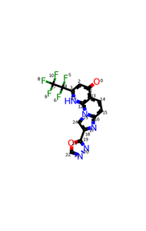 O=c1cc(C(F)(F)C(F)(F)F)[nH]c2c1ccc1nc(-c3nnco3)cn12